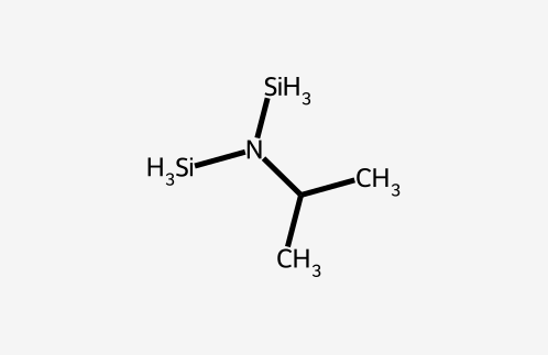 CC(C)N([SiH3])[SiH3]